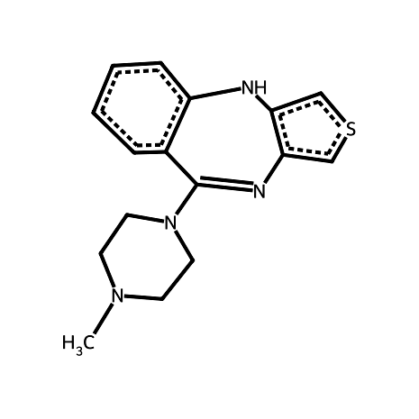 CN1CCN(C2=Nc3cscc3Nc3ccccc32)CC1